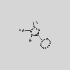 CNc1c(Br)c(-c2ccccc2)nn1C